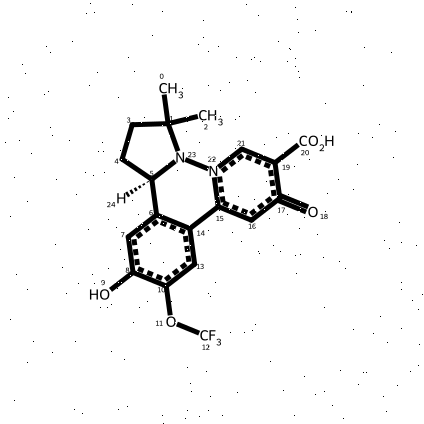 CC1(C)CC[C@@H]2c3cc(O)c(OC(F)(F)F)cc3-c3cc(=O)c(C(=O)O)cn3N21